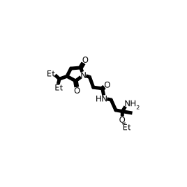 CCOC(C)(N)CCNC(=O)CCN1C(=O)CC(C(CC)CC)C1=O